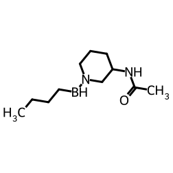 CCCCBN1CCCC(NC(C)=O)C1